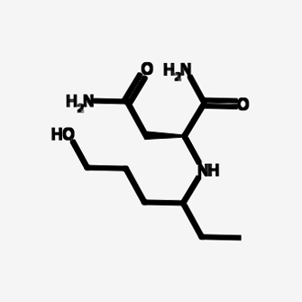 CCC(CCCO)N[C@@H](CC(N)=O)C(N)=O